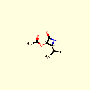 CC(=O)O[C@H]1C(=O)N[C@H]1C(C)C